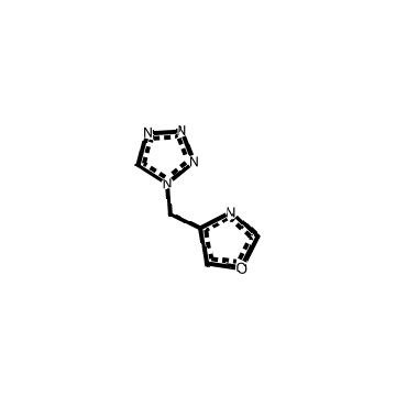 c1nc(Cn2cnnn2)co1